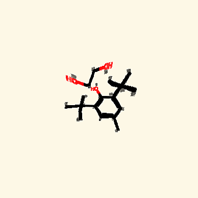 Cc1cc(C(C)(C)C)c(O)c(C(C)(C)C)c1.OCCO